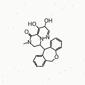 CN1CC(C2c3ccccc3COc3ccccc32)N2N=CC(O)C(O)=C2C1=O